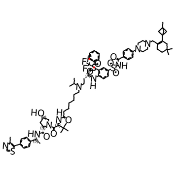 Cc1ncsc1-c1ccc([C@H](C)NC(=O)[C@@H]2C[C@@H](O)CN2C(=O)[C@@H](NC(=O)CCCCCCN(CC[C@H](CSc2ccccc2)Nc2ccc(S(=O)(=O)NC(=O)c3ccc(N4CCN(CC5=C(C67CC(C)(C6)C7)CC(C)(C)CC5)CC4)cc3)cc2S(=O)(=O)C(F)(F)F)C(C)C)C(C)(C)C)cc1